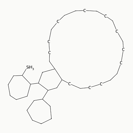 [SiH3]C1CCCCCC1C1CC2CCCCCCCCCCCCCCCCCCCCCC2CC1C1CCCCCC1